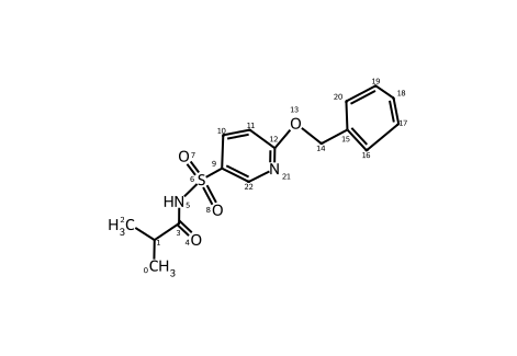 CC(C)C(=O)NS(=O)(=O)c1ccc(OCc2ccccc2)nc1